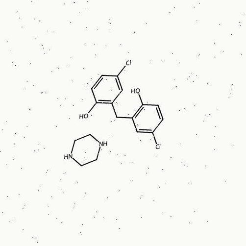 C1CNCCN1.Oc1ccc(Cl)cc1Cc1cc(Cl)ccc1O